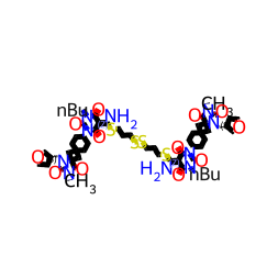 CCCCN1C(=O)/C(=C(\N)SCCCSSCCCS/C(N)=C2/C(=O)N(CCCC)C(=O)N(C3CCC4(CC3)CC3(C4)C(=O)N(C)C(=O)N3C[C@@H]3CCOC3)C2=O)C(=O)N(C2CCC3(CC2)CC2(C3)C(=O)N(C)C(=O)N2C[C@@H]2CCOC2)C1=O